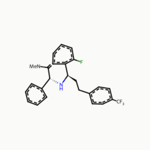 C=C(NC)[C@H](N[C@H](CCc1ccc(C(F)(F)F)cc1)c1ccccc1F)c1ccccc1